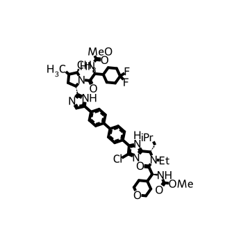 CCN(C(=O)[C@@H](NC(=O)OC)C1CCOCC1)[C@@H](CC(C)C)c1nc(Cl)c(-c2ccc(-c3ccc(-c4cnc([C@@H]5CC(C)[C@@H](C)N5C(=O)[C@@H](NC(=O)OC)C5CCC(F)(F)CC5)[nH]4)cc3)cc2)[nH]1